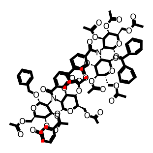 CC(=O)OC[C@H]1O[C@H](OCc2ccccc2)[C@@H](N(C(=O)c2ccc(-c3ccc(C(=O)N([C@@H]4[C@@H](OCc5ccccc5)O[C@H](COC(C)=O)[C@@H](OC(C)=O)[C@@H]4OC(C)=O)[C@@H]4[C@@H](OCc5ccccc5)O[C@H](COC(C)=O)[C@@H](OC(C)=O)[C@@H]4OC(C)=O)cc3)cc2)[C@@H]2[C@@H](OCc3ccccc3)O[C@H](COC(C)=O)[C@@H](OC(C)=O)[C@@H]2OC(C)=O)[C@@H](OC(C)=O)[C@@H]1OC(C)=O